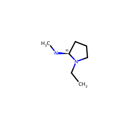 CCN1CCC[C@@H]1[N]C